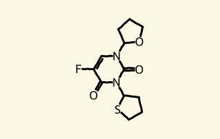 O=c1c(F)cn(C2CCCO2)c(=O)n1C1CCCS1